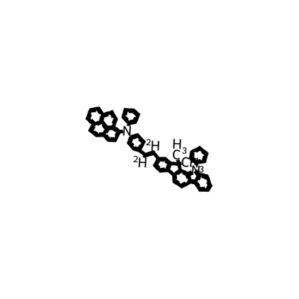 [2H]/C(=C(/[2H])c1ccc2c(c1)C(C)(C)c1c-2ccc2c3ccccc3n(-c3ccccc3)c12)c1ccc(N(c2ccccc2)c2ccc3ccc4cccc5ccc2c3c45)cc1